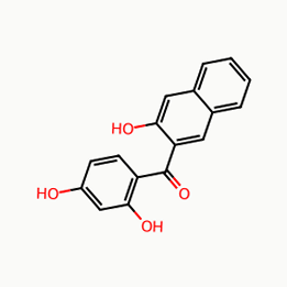 O=C(c1ccc(O)cc1O)c1cc2ccccc2cc1O